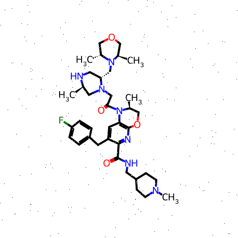 C[C@@H]1CN(CC(=O)N2c3cc(Cc4ccc(F)cc4)c(C(=O)NCC4CCN(C)CC4)nc3OC[C@@H]2C)[C@@H](CN2[C@H](C)COC[C@H]2C)CN1